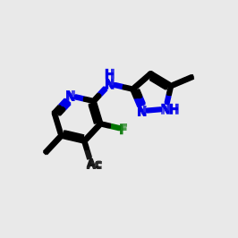 CC(=O)c1c(C)cnc(Nc2cc(C)[nH]n2)c1F